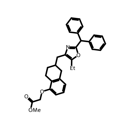 CCc1oc(C(c2ccccc2)c2ccccc2)nc1CC1CCc2c(cccc2OCC(=O)OC)C1